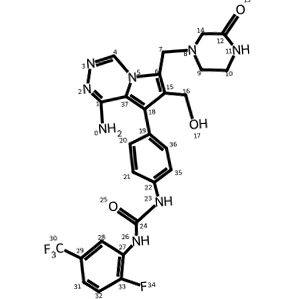 Nc1nncn2c(CN3CCNC(=O)C3)c(CO)c(-c3ccc(NC(=O)Nc4cc(C(F)(F)F)ccc4F)cc3)c12